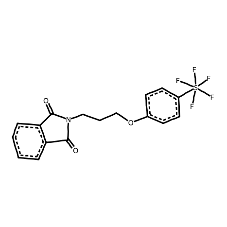 O=C1c2ccccc2C(=O)N1CCCOc1ccc(S(F)(F)(F)(F)F)cc1